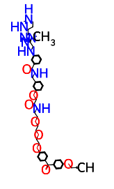 C#CCOc1ccc(C(=O)c2ccc(OCCOCCOCCNC(=O)COc3cccc(CNC(=O)c4cccc(NCc5nnc(C6CCNCN6)n5C)c4)c3)cc2)cc1